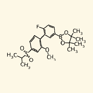 COc1cc(S(=O)(=O)C(C)C)ccc1-c1cc(B2OC(C)(C)C(C)(C)O2)ccc1F